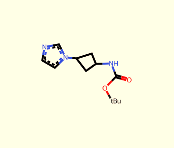 CC(C)(C)OC(=O)NC1CC(n2ccnc2)C1